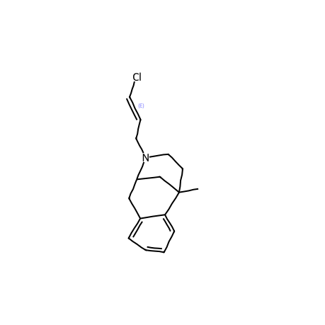 CC12CCN(C/C=C/Cl)C(Cc3ccccc31)C2